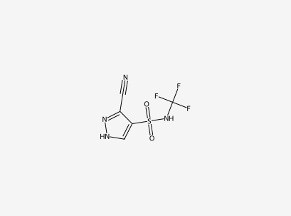 N#Cc1n[nH]cc1S(=O)(=O)NC(F)(F)F